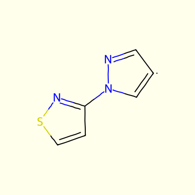 [c]1cnn(-c2ccsn2)c1